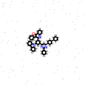 c1ccc(-c2ccc(-c3cc(-c4cc(-c5nc6ccccc6c6oc7ccccc7c56)cc(-n5c6ccccc6c6ccccc65)c4)nc(-c4ccccc4)n3)cc2)cc1